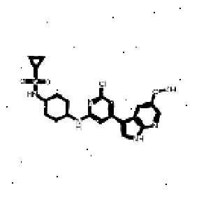 COc1cnc2[nH]cc(-c3cc(Cl)nc(NC4CCC(NS(=O)(=O)C5CC5)CC4)c3)c2c1